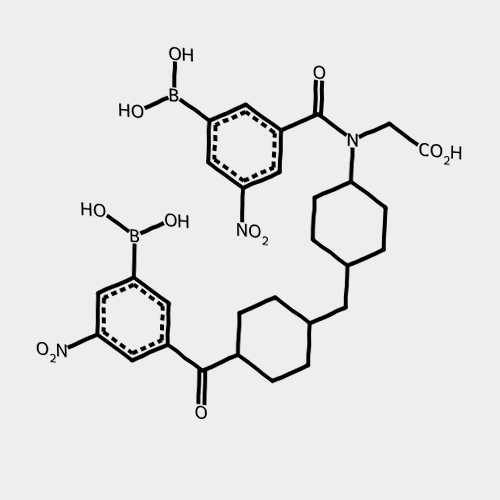 O=C(O)CN(C(=O)c1cc(B(O)O)cc([N+](=O)[O-])c1)C1CCC(CC2CCC(C(=O)c3cc(B(O)O)cc([N+](=O)[O-])c3)CC2)CC1